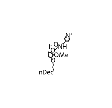 CCCCCCCCCCCCCCOc1cccc(OCC(=O)NCCc2cc[n+](C)cc2)c1OC.[I-]